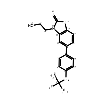 BC(B)(F)Oc1ccc(-c2ccc3oc(=O)n(CCO)c3c2)cc1